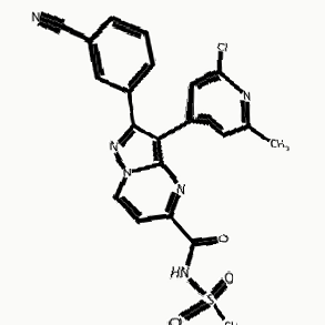 Cc1cc(-c2c(-c3cccc(C#N)c3)nn3ccc(C(=O)NS(C)(=O)=O)nc23)cc(Cl)n1